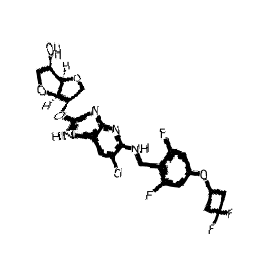 O[C@@H]1CO[C@H]2[C@@H]1OC[C@H]2Oc1nc2nc(NCc3c(F)cc(OC4CC(F)(F)C4)cc3F)c(Cl)cc2[nH]1